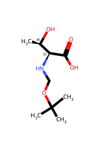 C[C@@H](O)[C@H](NCOC(C)(C)C)C(=O)O